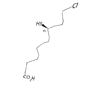 O=C(O)CCCC[C@@H](S)CCCl